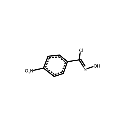 O=[N+]([O-])c1ccc(C(Cl)=NO)cc1